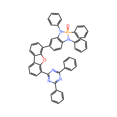 O=P1(c2ccccc2)N(c2ccccc2)c2ccc(-c3cccc4c3oc3c(-c5nc(-c6ccccc6)nc(-c6ccccc6)n5)cccc34)cc2N1c1ccccc1